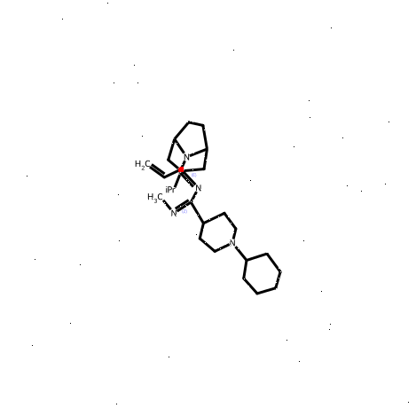 C=C/C(=N\C(=N/C)C1CCN(C2CCCCC2)CC1)N1C2CCC1CN(C(C)C)C2